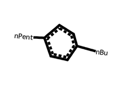 [CH2]CCCc1ccc(CCCCC)cc1